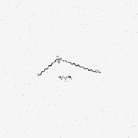 CCCCCCCCCCCCCCCCOS(=O)(=O)CCCCCCCCCCF.CNC